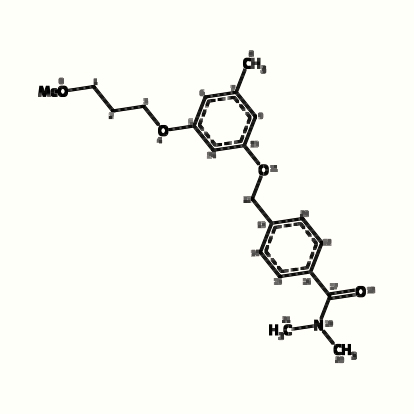 COCCCOc1cc(C)cc(OCc2ccc(C(=O)N(C)C)cc2)c1